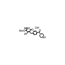 COC(=O)/C(Cc1ccc(C(=O)N2CCNCC2)cc1)=C(\C(=O)OC)C(C)C.Cl